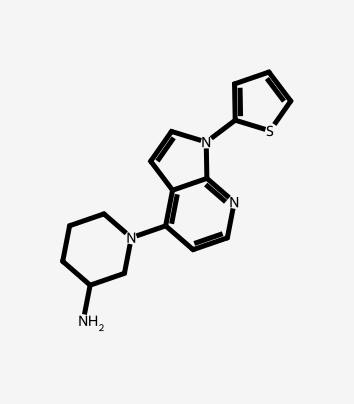 NC1CCCN(c2ccnc3c2ccn3-c2cccs2)C1